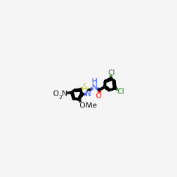 COc1cc([N+](=O)[O-])cc2sc(NC(=O)c3cc(Cl)cc(Cl)c3)nc12